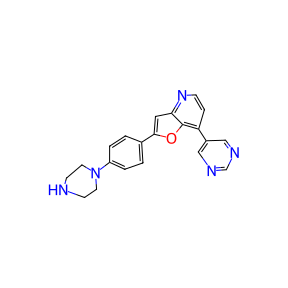 c1ncc(-c2ccnc3cc(-c4ccc(N5CCNCC5)cc4)oc23)cn1